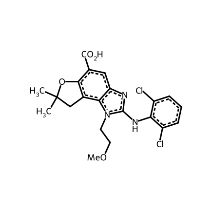 COCCn1c(Nc2c(Cl)cccc2Cl)nc2cc(C(=O)O)c3c(c21)CC(C)(C)O3